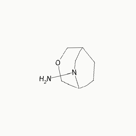 NN1CC2CCC1COC2